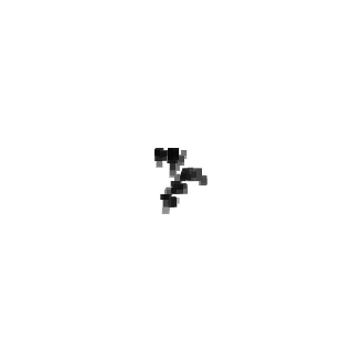 [AlH3].[SnH2].[Ta].[Ti].[Zn]